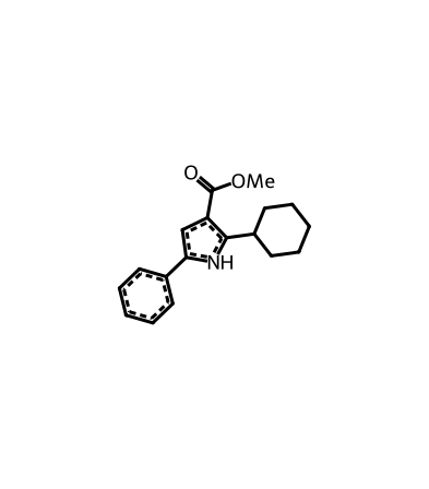 COC(=O)c1cc(-c2ccccc2)[nH]c1C1CCCCC1